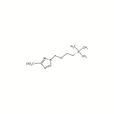 CCOC(=O)c1ncn(COCC[Si](C)(C)C)n1